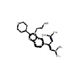 COCCn1c(C2CCOCC2)nc2ccc(C(/C=C(/C)C=O)=C/N(C)C)cc21